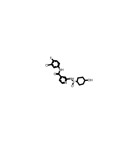 O=C(Nc1ccc(F)c(Cl)c1)c1ccnc(N[S+]([O-])C2CCC(O)CC2)c1